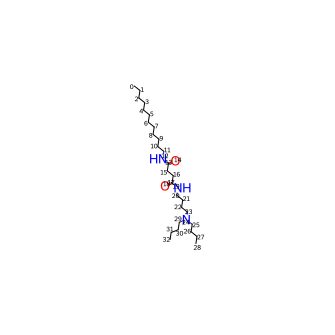 CCCCCCCCCCCCNC(=O)CCC(=O)NCCCCN(CCCC)CCCC